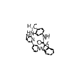 Cc1ccc(NC(=O)c2nc3ccccc3s2)cc1Nc1nccc(-c2cccnc2)n1